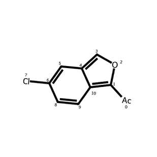 CC(=O)c1occ2cc(Cl)ccc12